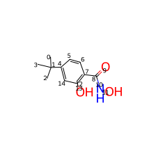 CC(C)(C)c1ccc(C(=O)NO)c(O)c1